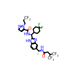 C[C@@H](NC(=O)CC(C(F)(F)F)C(F)(F)F)c1ccc2[nH]c([C@@H](NC(=O)c3ccnn3CCC(F)(F)F)C3CCC(F)(F)CC3)nc2c1